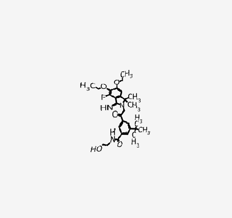 CCOc1cc2c(c(F)c1OCC)C(=N)N(CC(=O)c1cc(C(=O)NCCO)cc(C(C)(C)C)c1)C2(C)C